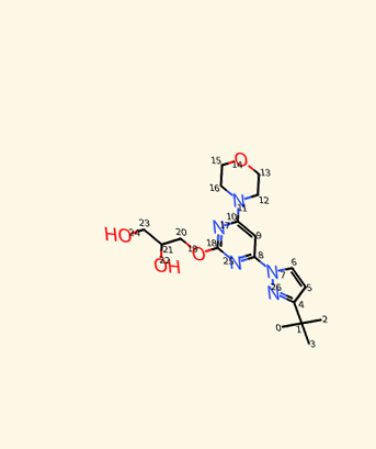 CC(C)(C)c1ccn(-c2cc(N3CCOCC3)nc(OCC(O)CO)n2)n1